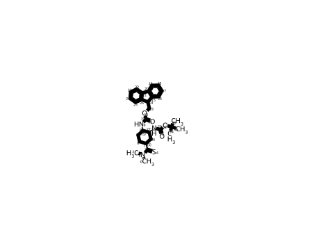 CN(C)C(=S)[C@H]1CC[C@H](NC(=O)OCC2c3ccccc3-c3ccccc32)[C@H](NC(=O)OC(C)(C)C)C1